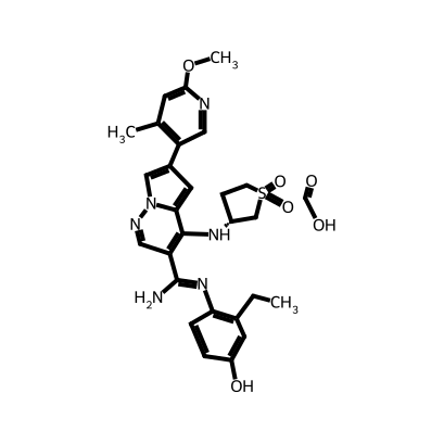 CCc1cc(O)ccc1N=C(N)c1cnn2cc(-c3cnc(OC)cc3C)cc2c1N[C@@H]1CCS(=O)(=O)C1.O=CO